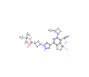 C[C@H]1CCN1c1nc(-c2cnn(C3CN(C(=O)OC(C)(C)C)C3)c2)c2c(c1C#N)C(F)(F)CC2